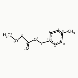 COCC(=O)OCc1ccc(C)cc1